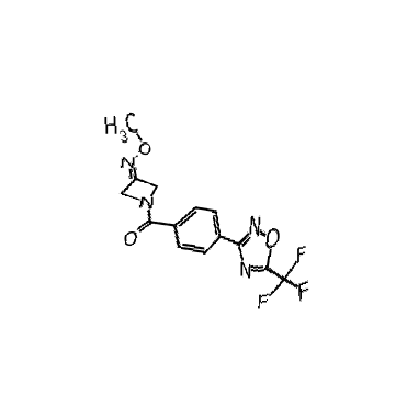 CON=C1CN(C(=O)c2ccc(-c3noc(C(F)(F)F)n3)cc2)C1